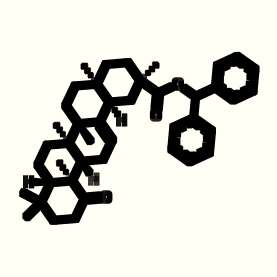 CC1(C)CCC(=O)[C@]2(C)[C@H]3CC=C4[C@@H]5C[C@](C)(C(=O)OC(c6ccccc6)c6ccccc6)CC[C@]5(C)CC[C@@]4(C)[C@]3(C)CC[C@@H]12